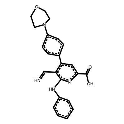 N=Cc1c(-c2ccc(N3CCOCC3)cc2)cc(C(=O)O)nc1Nc1ccccc1